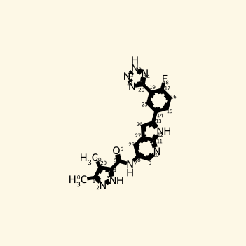 Cc1n[nH]c(C(=O)Nc2cnc3[nH]c(-c4ccc(F)c(-c5nn[nH]n5)c4)cc3c2)c1C